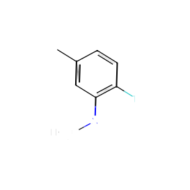 Cc1ccc(F)c(NC(=O)O)c1